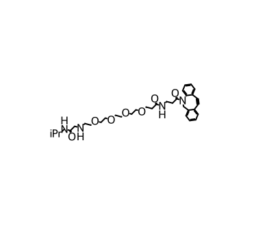 CC(C)NC(=O)CNCCOCCOCCOCCOCCC(=O)NCCC(=O)N1Cc2ccccc2C#Cc2ccccc21